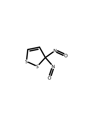 O=NC1(N=O)C=CSS1